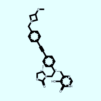 COC1CN(Cc2ccc(C#Cc3ccc([C@H](Cc4nc[nH]c(=O)c4O)CN4C(=O)OC[C@@H]4C)cc3)cc2)C1